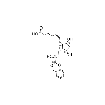 O=C(O)CCC/C=C\C[C@@H]1[C@@H](CC[C@H](O)[C@H]2OCc3ccccc3O2)[C@H](O)C[C@@H]1O